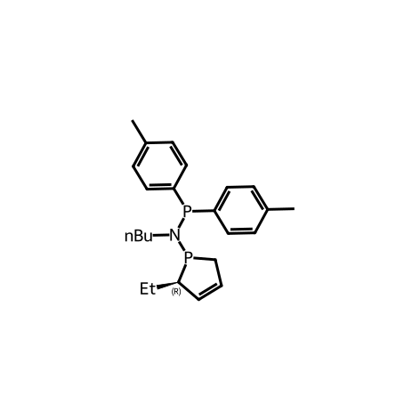 CCCCN(P(c1ccc(C)cc1)c1ccc(C)cc1)P1CC=C[C@H]1CC